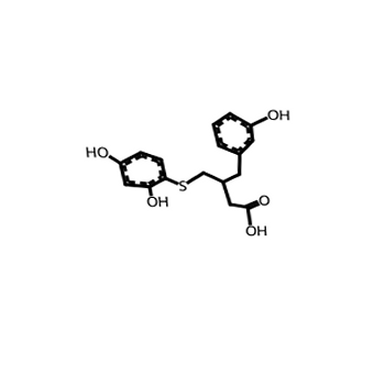 O=C(O)CC(CSc1ccc(O)cc1O)Cc1cccc(O)c1